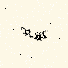 CC(C)N1CCN(CCSc2ccc3c(c2C(=O)O)OB(O)C2CC32)CC1